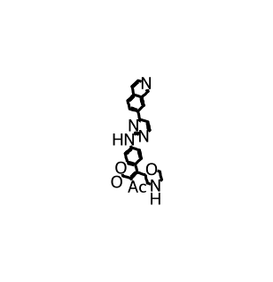 CC(=O)c1c(C2CNCCO2)c2ccc(Nc3nccc(-c4ccc5ccncc5c4)n3)cc2oc1=O